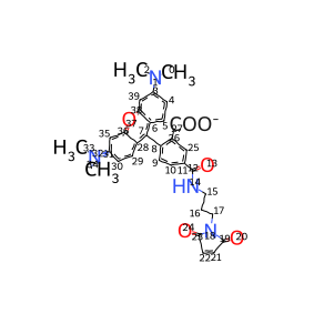 CN(C)c1ccc2c(-c3ccc(C(=O)NCCCN4C(=O)C=CC4=O)cc3C(=O)[O-])c3ccc(=[N+](C)C)cc-3oc2c1